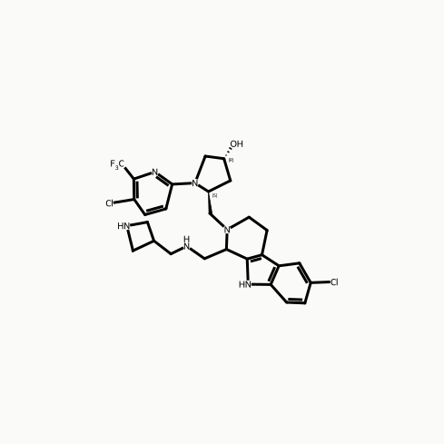 O[C@@H]1C[C@@H](CN2CCc3c([nH]c4ccc(Cl)cc34)C2CNCC2CNC2)N(c2ccc(Cl)c(C(F)(F)F)n2)C1